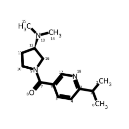 CC(C)c1ccc(C(=O)N2CC[C@@H](N(C)C)C2)cn1